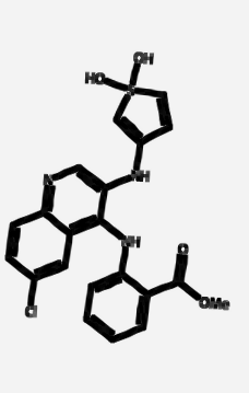 COC(=O)c1ccccc1Nc1c(NC2=CS(O)(O)C=C2)cnc2ccc(Cl)cc12